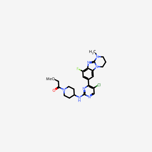 COCC(=O)N1CCC(Nc2ncc(Cl)c(-c3cc(F)c4nc5n(c4c3)CCCN5C)n2)CC1